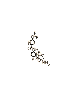 CC1(C)N=C(N)O[C@](C)(c2cc(NC(=O)c3ccc(OC(F)F)cn3)ccc2F)C1(F)F